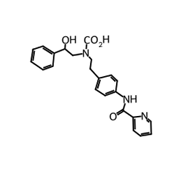 O=C(Nc1ccc(CCN(CC(O)c2ccccc2)C(=O)O)cc1)c1ccccn1